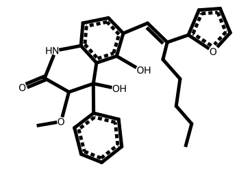 CCCCCC(=Cc1ccc2c(c1O)C(O)(c1ccccc1)C(OC)C(=O)N2)c1ccco1